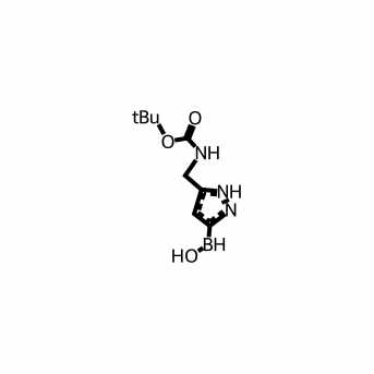 CC(C)(C)OC(=O)NCc1cc(BO)n[nH]1